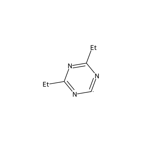 CCc1n[c]nc(CC)n1